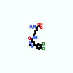 N[C@@H](CCCCNC(=O)c1cc(-c2ccc(Cl)c(Cl)c2)ncn1)C(=O)O